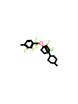 Cc1ccc(C(F)(F)OC23CCC(C4CCC(C)CC4)(CC2)C(F)=C3F)c(F)c1F